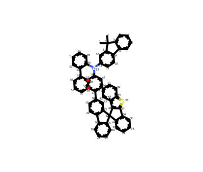 CC1(C)c2ccccc2-c2ccc(N(c3ccc(-c4ccc5c(c4)C4(c6ccccc6-5)c5ccccc5-c5sc6ccccc6c54)cc3)c3ccccc3-c3ccccc3)cc21